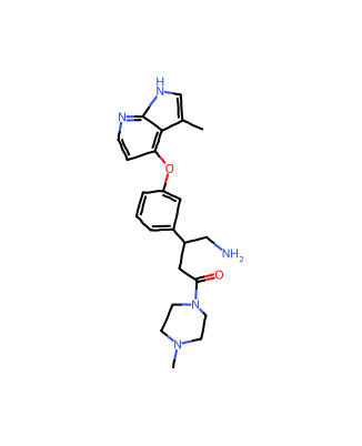 Cc1c[nH]c2nccc(Oc3cccc(C(CN)CC(=O)N4CCN(C)CC4)c3)c12